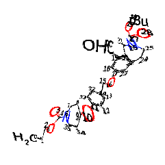 C=CCOC(=O)N1CCC(Oc2ccc(COc3cc(C=O)c4c(c3)CCN(C(=O)OC(C)(C)C)C4)cc2)CC1